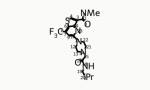 CNC(=O)c1csc2c(C(F)(F)F)cc(N3CCN(CC(=O)NCC(C)C)CC3)nc12